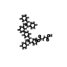 O=C(O)C=CC(=O)O.c1ccc(CN(Cc2ccccc2)Cc2ccccc2)cc1.c1ccc(CN(Cc2ccccc2)Cc2ccccc2)cc1